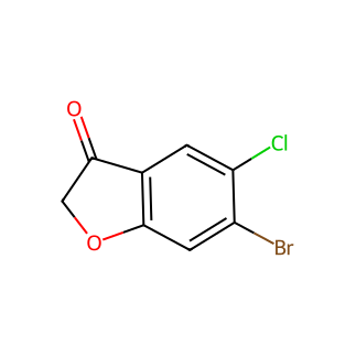 O=C1COc2cc(Br)c(Cl)cc21